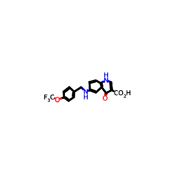 O=C(O)c1c[nH]c2ccc(NCc3ccc(OC(F)(F)F)cc3)cc2c1=O